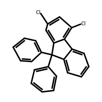 Clc1cc(Cl)c2c(c1)C(c1ccccc1)(c1ccccc1)c1ccccc1-2